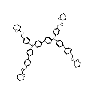 c1cc(-c2ccc(N(c3ccc(COC4CCCCO4)cc3)c3ccc(-c4ccc(N(c5ccc(COC6CCCCO6)cc5)c5ccc(-c6ccc(COC7CCCCO7)cc6)cc5)cc4)cc3)cc2)ccc1COC1CCCCO1